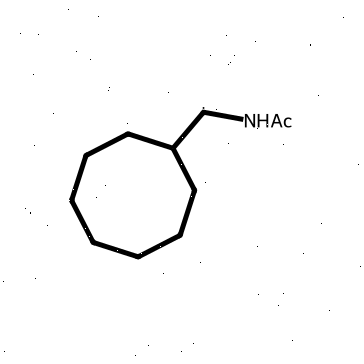 CC(=O)N[CH]C1CCCCCCC1